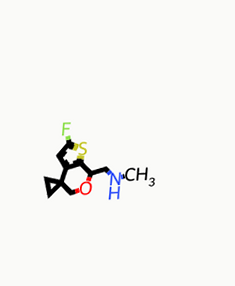 CNCC1OCC2(CC2)c2cc(F)sc21